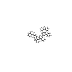 c1ccc2c(c#1)oc1cccc(-c3nc(C4=C5C=CC=CC5C(c5cccc6oc7cc(-c8cccc9ccccc89)ccc7c56)CC4)nc(-c4ccccc4)n3)c12